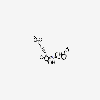 [CH2]COC(=O)CCCSCC[C@H]1C(=O)C[C@@H](O)[C@@H]1/C=C/[C@@H](O)Cc1cccc(COC)c1